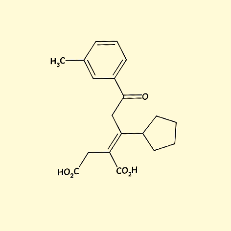 Cc1cccc(C(=O)CC(=C(CC(=O)O)C(=O)O)C2CCCC2)c1